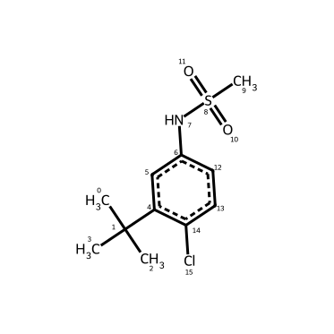 CC(C)(C)c1cc(NS(C)(=O)=O)ccc1Cl